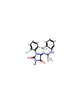 CN1C(=O)C(=NC(Nc2ccccc2C#N)C(Cl)(Cl)Cl)N(c2ccccc2F)C1=O